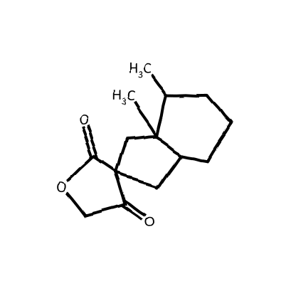 CC1CCCC2CC3(CC12C)C(=O)COC3=O